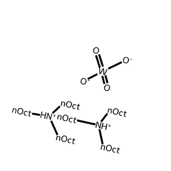 CCCCCCCC[NH+](CCCCCCCC)CCCCCCCC.CCCCCCCC[NH+](CCCCCCCC)CCCCCCCC.[O]=[W](=[O])([O-])[O-]